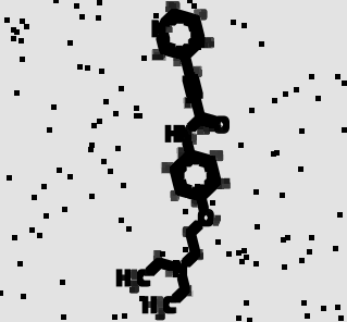 CCN(CC)CCOc1ccc(NC(=O)C#Cc2cccnc2)cc1